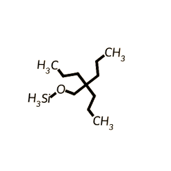 CCCC(CCC)(CCC)CO[SiH3]